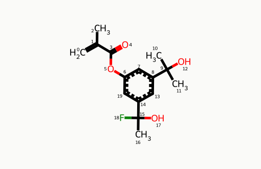 C=C(C)C(=O)Oc1cc(C(C)(C)O)cc(C(C)(O)F)c1